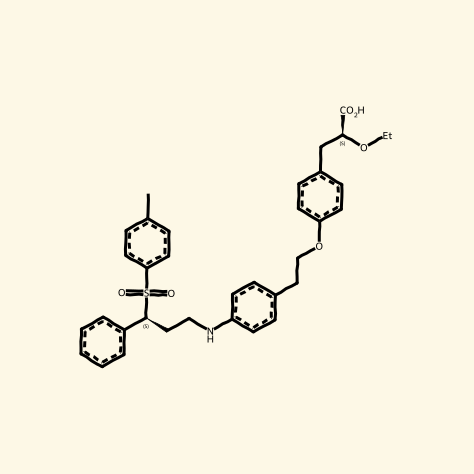 CCO[C@@H](Cc1ccc(OCCc2ccc(NCC[C@@H](c3ccccc3)S(=O)(=O)c3ccc(C)cc3)cc2)cc1)C(=O)O